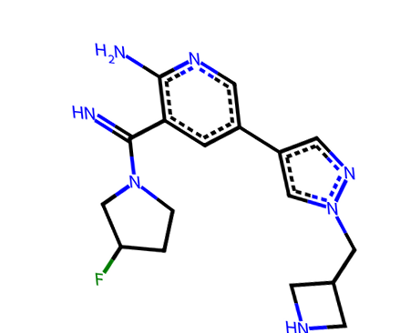 N=C(c1cc(-c2cnn(CC3CNC3)c2)cnc1N)N1CCC(F)C1